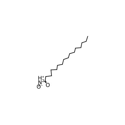 CCCCCCCCCCCCCCCC(=O)[NH2+][O-]